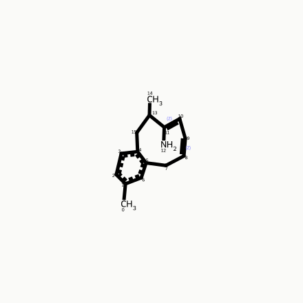 Cc1ccc2c(c1)C/C=C\C=C(/N)C(C)C2